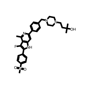 Cc1nc(-c2ccc(CN3CCN(CCC(C)(C)O)CC3)cc2)cc2[nH]c(-c3ccc(S(C)(=O)=O)cc3)c(F)c12